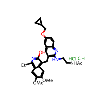 CCc1nc(O)c(Cc2cc3cc(OCC4CC4)ccc3nc2NCCNC(C)=O)c2cc(OC)c(OC)cc12.Cl.Cl